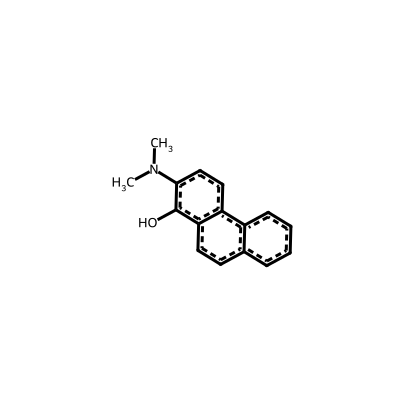 CN(C)c1ccc2c(ccc3ccccc32)c1O